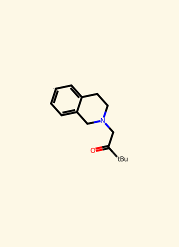 CC(C)(C)C(=O)CN1CCc2c[c]ccc2C1